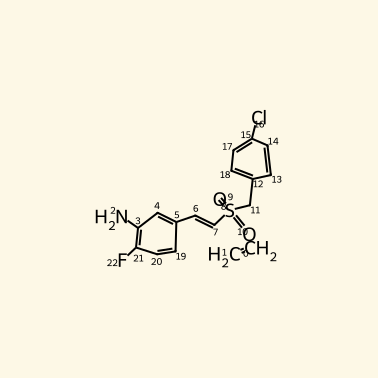 C=C.Nc1cc(/C=C/S(=O)(=O)Cc2ccc(Cl)cc2)ccc1F